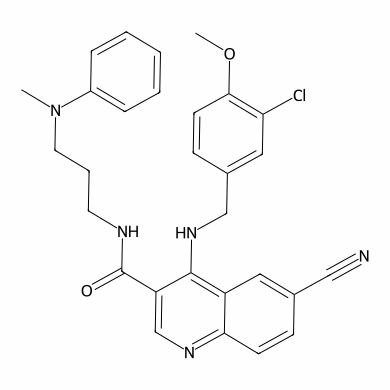 COc1ccc(CNc2c(C(=O)NCCCN(C)c3ccccc3)cnc3ccc(C#N)cc23)cc1Cl